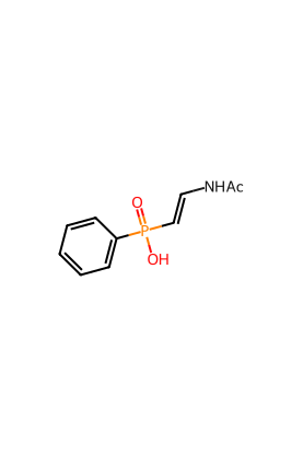 CC(=O)NC=CP(=O)(O)c1ccccc1